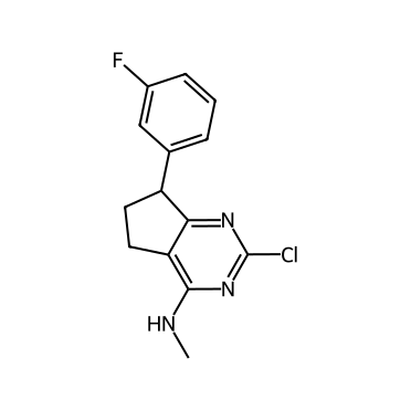 CNc1nc(Cl)nc2c1CCC2c1cccc(F)c1